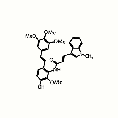 COc1cc(/C=C/c2ccc(O)c(OC)c2NC(=O)/C=C/c2cn(C)c3ccccc23)cc(OC)c1OC